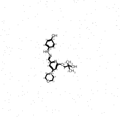 CC(C)(O)COc1cc(N2CCOCC2)cc(/C=N/Nc2ccc(O)cc2)n1